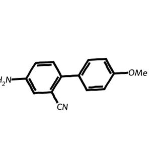 COc1ccc(-c2ccc(N)cc2C#N)cc1